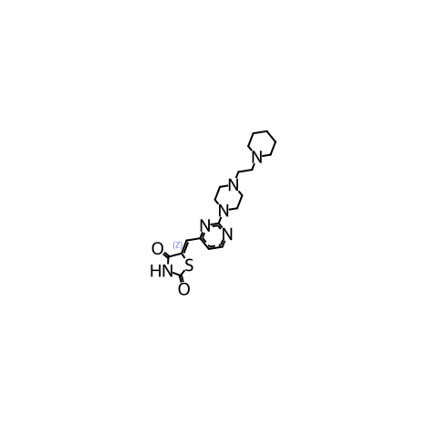 O=C1NC(=O)/C(=C/c2ccnc(N3CCN(CCN4CCCCC4)CC3)n2)S1